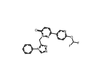 O=c1ccc(-c2ccc(OC(F)F)nc2)nn1Cc1nncn1-c1ccccc1